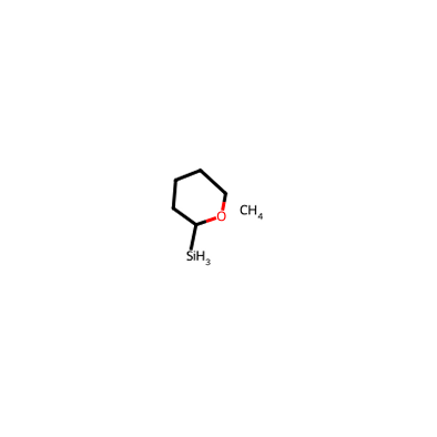 C.[SiH3]C1CCCCO1